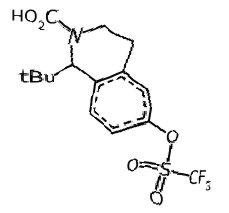 CC(C)(C)C1c2ccc(OS(=O)(=O)C(F)(F)F)cc2CCN1C(=O)O